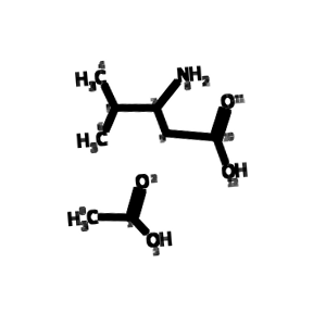 CC(=O)O.CC(C)C(N)CC(=O)O